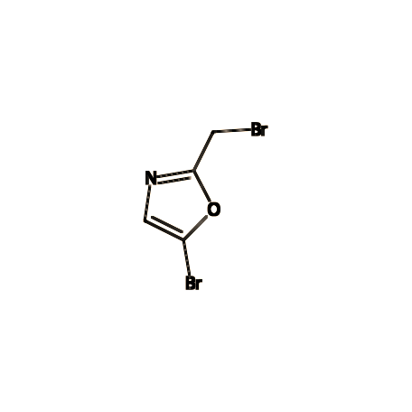 BrCc1ncc(Br)o1